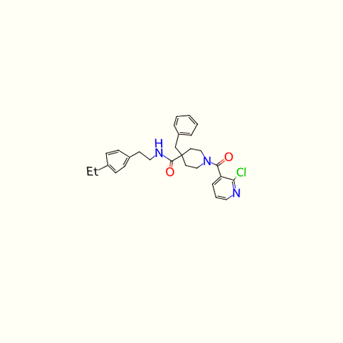 CCc1ccc(CCNC(=O)C2(Cc3ccccc3)CCN(C(=O)c3cccnc3Cl)CC2)cc1